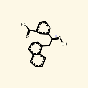 O=C(O)c1ccnc(/C(Cc2cccc3ccccc23)=N/O)c1